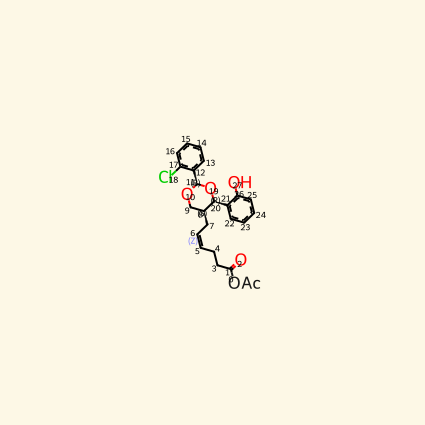 CC(=O)OC(=O)CC/C=C\C[C@H]1CO[C@@H](c2ccccc2Cl)O[C@H]1c1ccccc1O